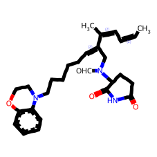 C\C=C/C=C(C)\C(=C\CCCCCN1CCOc2ccccc21)CN(C=O)C1CCC(=O)NC1=O